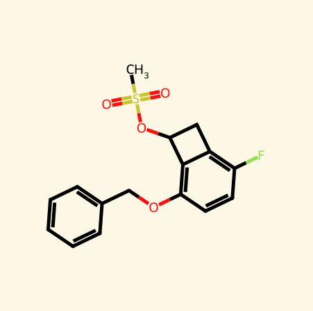 CS(=O)(=O)OC1Cc2c(F)ccc(OCc3ccccc3)c21